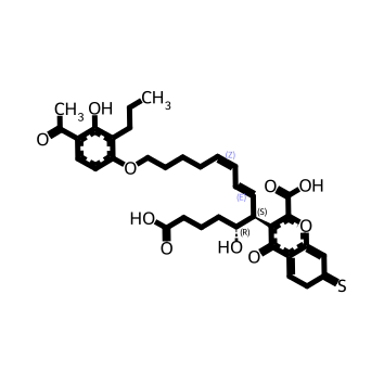 CCCc1c(OCCCC/C=C\C=C\[C@@H](c2c(C(=O)O)oc3c(c2=O)=CCC(=S)C=3)[C@H](O)CCCC(=O)O)ccc(C(C)=O)c1O